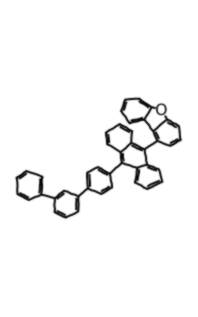 c1ccc(-c2cccc(-c3ccc(-c4c5ccccc5c(-c5cccc6oc7ccccc7c56)c5ccccc45)cc3)c2)cc1